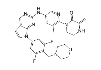 C=C1NCCN(c2ncc(Nc3ncc4ccn(-c5cc(F)c(CN6CCOCC6)c(F)c5)c4n3)cc2C)C1=O